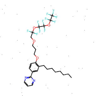 CCCCCCCCc1cc(-c2ncccn2)ccc1OCCCOCC(F)(F)OC(F)(F)C(F)(F)OC(F)(F)C(F)(F)F